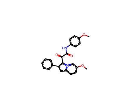 COc1ccc(NC(=O)C(=O)c2c(-c3ccccc3)cc3ccc(OC)cn23)cc1